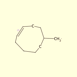 [CH2]C1CC/C=C\CCCC1